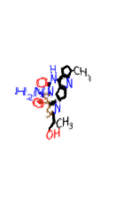 C[C@H](CO)c1ncc(S(N)(=O)=NC(=O)Nc2c3c(nc4c2CC[C@H]4C)CCC3)s1